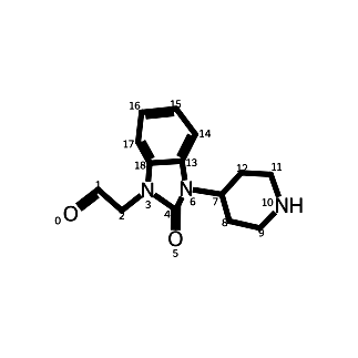 O=CCn1c(=O)n(C2CCNCC2)c2ccccc21